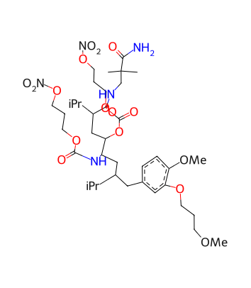 COCCCOc1cc(CC(CC(NC(=O)OCCCO[N+](=O)[O-])C(CC(C(=O)NCC(C)(C)C(N)=O)C(C)C)OC(=O)OCCCO[N+](=O)[O-])C(C)C)ccc1OC